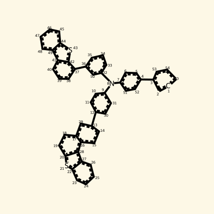 c1ccc(-c2ccc(N(c3ccc(-c4ccc5c(ccc6sc7ccccc7c65)c4)cc3)c3cccc(-c4cccc5c4sc4ccccc45)c3)cc2)cc1